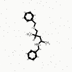 CC(CC(C)(F)COCc1ccccc1)NCc1ccccc1